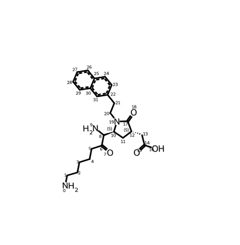 NCCCCCC(=O)C(N)[C@@H]1C[C@@H](CC(=O)O)C(=O)N1CCc1ccc2ccccc2c1